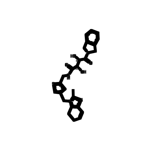 Cc1nc2c(n1Cc1csc(CNC(=O)[C@H](O)[C@@H](O)C(=O)N3Cc4ccccc4C3)c1)CCC=C2